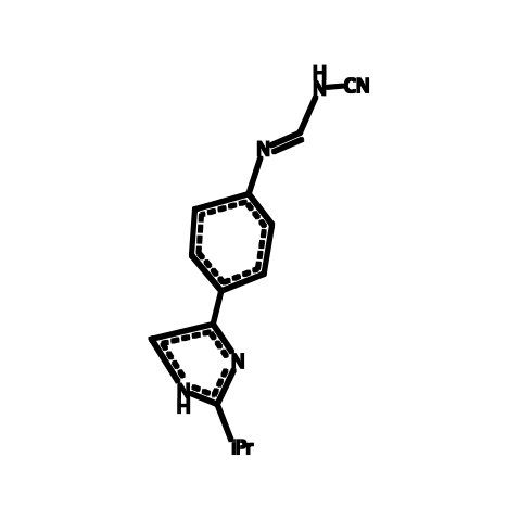 CC(C)c1nc(-c2ccc(/N=C/NC#N)cc2)c[nH]1